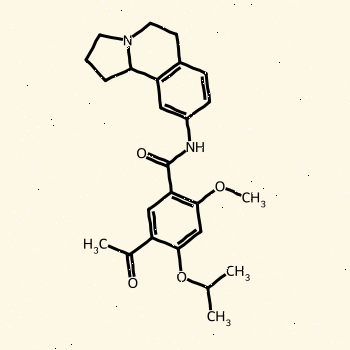 COc1cc(OC(C)C)c(C(C)=O)cc1C(=O)Nc1ccc2c(c1)C1CCCN1CC2